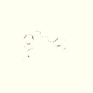 COC(=O)c1cc2cc(C[C@@H](C)NC[C@@H](O)c3csc(C(F)(F)F)n3)ccc2o1